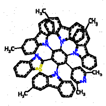 Cc1ccc2c(c1)c1ccccc1n2-c1c(-c2cc(C)nc(C)c2)c(-n2c3ccccc3c3cc(C)ccc32)c(-n2c3ccccc3c3cc(C)ccc32)c(-n2c3ccccc3c3cc(C)ccc32)c1-c1nc2ccccc2s1